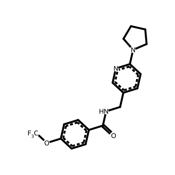 O=C(NCc1ccc(N2CCCC2)nc1)c1ccc(OC(F)(F)F)cc1